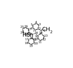 C=Cc1ccccc1[CH](c1ccccc1)[SnH]([c]1ccccc1)[c]1ccccc1